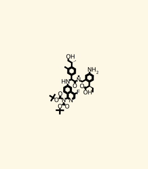 CC[C@@H](C(=O)O)c1ccc(N)cc1CN(C)C(=O)C(Nc1ccc2c(N(C(=O)OC(C)(C)C)C(=O)OC(C)(C)C)ncc(F)c2c1)c1ccc([C@@H](C)CO)c(C)c1